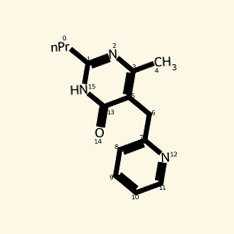 CCCc1nc(C)c(Cc2ccccn2)c(=O)[nH]1